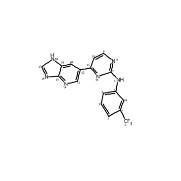 FC(F)(F)c1cccc(Nc2nccc(-c3cnc4nc[nH]c4c3)n2)c1